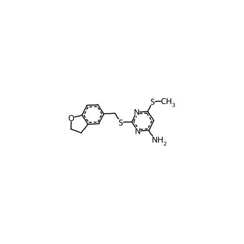 CSc1cc(N)nc(SCc2ccc3c(c2)CCO3)n1